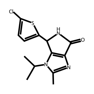 Cc1nc2c(n1C(C)C)C(c1ccc(Cl)s1)NC2=O